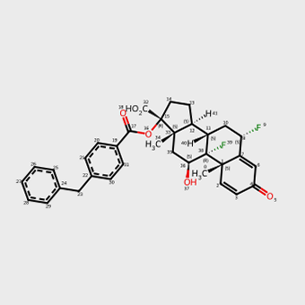 C[C@]12C=CC(=O)C=C1[C@@H](F)C[C@H]1[C@@H]3CC[C@](OC(=O)c4ccc(Cc5ccccc5)cc4)(C(=O)O)[C@@]3(C)C[C@H](O)[C@@]12F